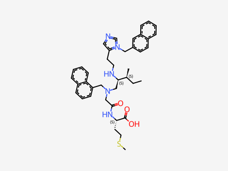 CC[C@H](C)[C@@H](CN(CC(=O)N[C@@H](CCSC)C(=O)O)Cc1cccc2ccccc12)NCCc1cncn1Cc1ccc2ccccc2c1